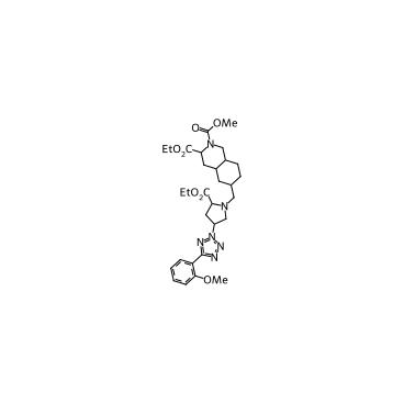 CCOC(=O)C1CC(n2nnc(-c3ccccc3OC)n2)CN1CC1CCC2CN(C(=O)OC)C(C(=O)OCC)CC2C1